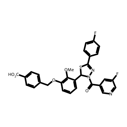 COc1c(OCc2ccc(C(=O)O)cc2)cccc1C1SC(c2ccc(F)cc2)=NN1C(=O)c1cncc(F)c1